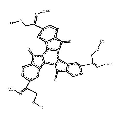 CCOC/C(=N\OC(C)=O)c1ccc2c(=O)c3c(c2c1)c1c(=O)c2ccc(/C(COCC)=N\OC(C)=O)cc2c1c1c(=O)c2ccc(/C(COCC)=N\OC(C)=O)cc2c31